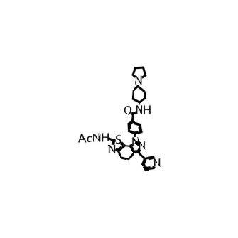 CC(=O)Nc1nc2c(s1)-c1c(c(-c3cccnc3)nn1-c1ccc(C(=O)N[C@H]3CC[C@@H](N4CCCC4)CC3)cc1)CC2